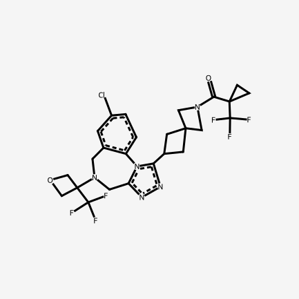 O=C(N1CC2(CC(c3nnc4n3-c3ccc(Cl)cc3CN(C3(C(F)(F)F)COC3)C4)C2)C1)C1(C(F)(F)F)CC1